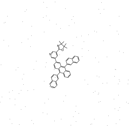 CC1(C)N=C(c2cncc(-c3ccc4c(-c5ccc6ccccc6c5)c5ccccc5c(-c5ccc6ccccc6c5)c4c3)c2)OC1(C)C